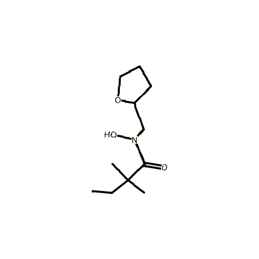 CCC(C)(C)C(=O)N(O)CC1CCCO1